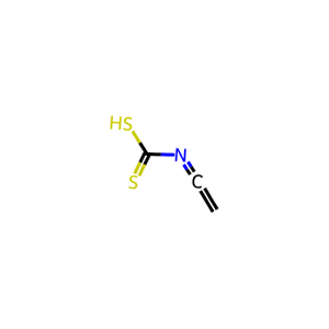 C=C=NC(=S)S